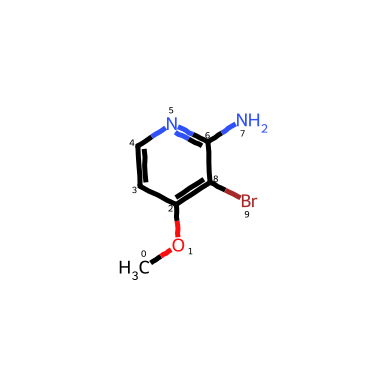 COc1ccnc(N)c1Br